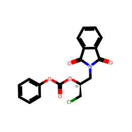 O=C(Oc1ccccc1)O[C@H](CCl)CN1C(=O)c2ccccc2C1=O